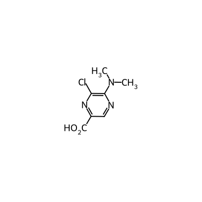 CN(C)c1ncc(C(=O)O)nc1Cl